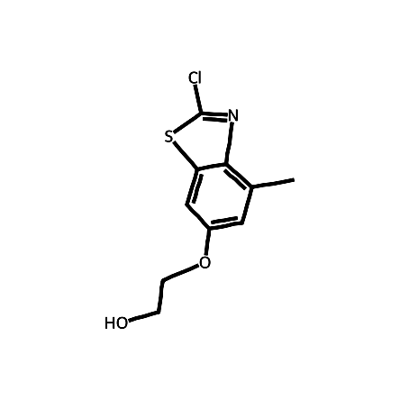 Cc1cc(OCCO)cc2sc(Cl)nc12